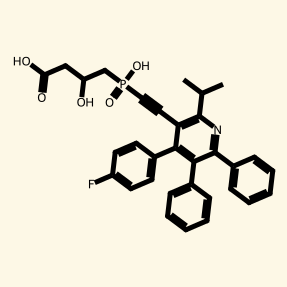 CC(C)c1nc(-c2ccccc2)c(-c2ccccc2)c(-c2ccc(F)cc2)c1C#CP(=O)(O)CC(O)CC(=O)O